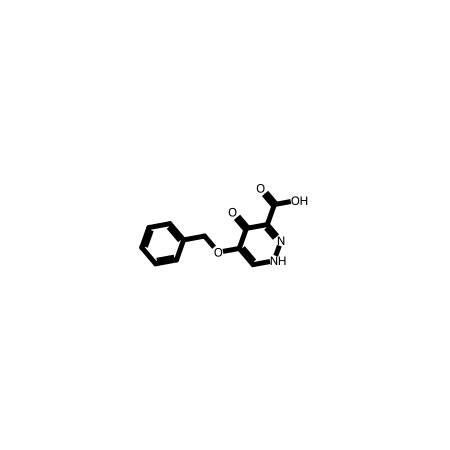 O=C(O)c1n[nH]cc(OCc2ccccc2)c1=O